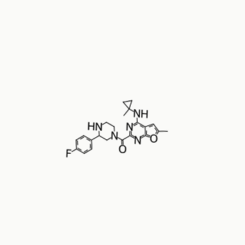 Cc1cc2c(NC3(C)CC3)nc(C(=O)N3CCNC(c4ccc(F)cc4)C3)nc2o1